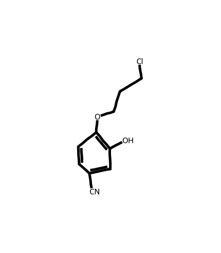 N#Cc1ccc(OCCCCl)c(O)c1